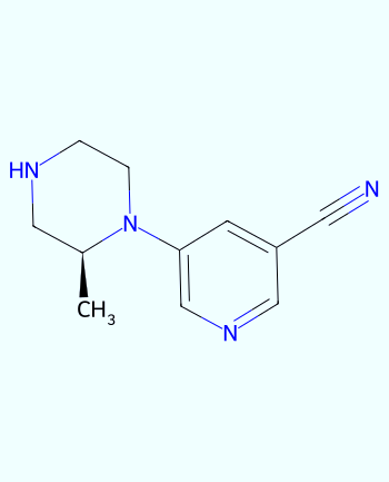 C[C@H]1CNCCN1c1cncc(C#N)c1